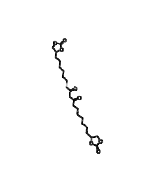 O=C(CCCCCCCC1COC(=O)O1)CC(=O)CCCCCCCC1COC(=O)O1